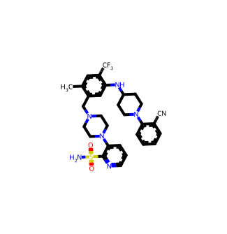 Cc1cc(C(F)(F)F)c(NC2CCN(c3ccccc3C#N)CC2)cc1CN1CCN(c2cccnc2S(N)(=O)=O)CC1